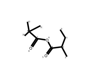 CCC(C)C(=O)OC(=O)C(C)(C)C